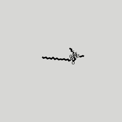 CCCCCCCCCCCCCCCCN1C(=O)CC(P(=S)(SSCCC)SSCCC)[S+]1[O-]